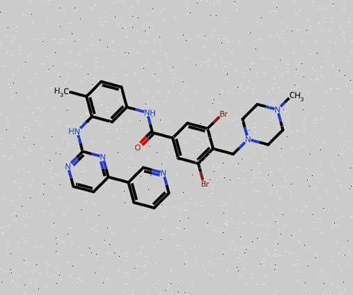 Cc1ccc(NC(=O)c2cc(Br)c(CN3CCN(C)CC3)c(Br)c2)cc1Nc1nccc(-c2cccnc2)n1